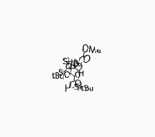 COC(=O)C[C@H]1CC[C@@H]2O[C@@H]([C@H](/C=C/I)O[Si](C)(C)C(C)(C)C)C(O[Si](C)(C)C(C)(C)C)C(O[Si](C)(C)C(C)(C)C)[C@H]2O1